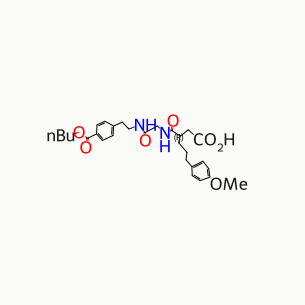 CCCCOC(=O)c1ccc(CCNC(=O)CNC(=O)[C@H](CCCc2ccc(OC)cc2)CC(=O)O)cc1